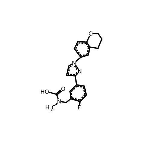 CN(Cc1cc(-c2ccn(-c3ccc4c(c3)CCCO4)n2)ccc1F)C(=O)O